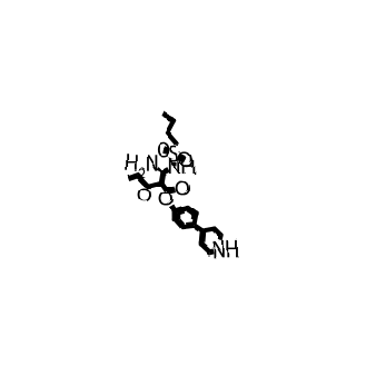 CCCCS(=O)(=O)N[C@H](N)C(C(=O)CC)C(=O)Oc1ccc(C2=CCNCC2)cc1